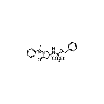 CCOC(=O)[C@]1(NC(=O)OCc2ccccc2)CC(=O)N([C@H](C)c2ccccc2)C1